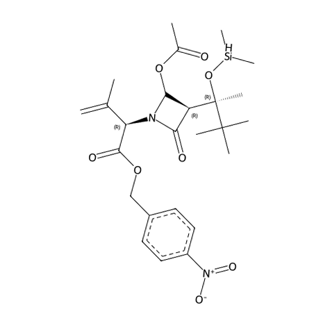 C=C(C)[C@H](C(=O)OCc1ccc([N+](=O)[O-])cc1)N1C(=O)[C@H]([C@@](C)(O[SiH](C)C)C(C)(C)C)C1OC(C)=O